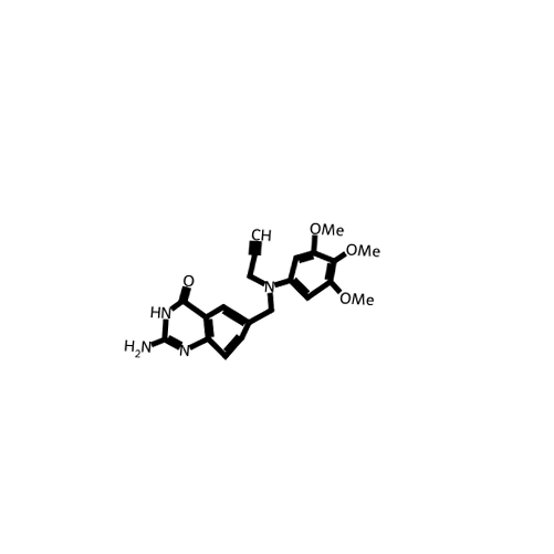 C#CCN(Cc1ccc2nc(N)[nH]c(=O)c2c1)c1cc(OC)c(OC)c(OC)c1